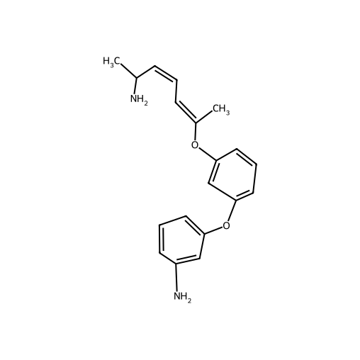 C/C(=C\C=C/C(C)N)Oc1cccc(Oc2cccc(N)c2)c1